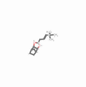 C[Si](C)(C)/C=C/CB1OC2C3CCC(C3)C2O1